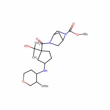 COC1COCCC1NC1CCC(C(=O)N2CC3CC2CN3C(=O)OC(C)(C)C)(C(C)(C)O)C1